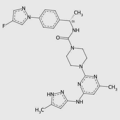 Cc1cc(Nc2cc(C)[nH]n2)nc(N2CCN(C(=O)N[C@@H](C)c3ccc(-n4cc(F)cn4)cc3)CC2)n1